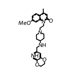 C=C(/C=C1/OCCO/C1=C/N)CNC1CCN(CCn2c(=O)cc(C)c3ccc(OC)cc32)CC1